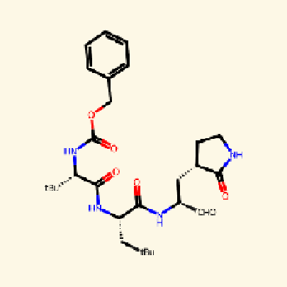 CC(C)(C)C[C@H](NC(=O)[C@@H](NC(=O)OCc1ccccc1)C(C)(C)C)C(=O)N[C@H](C=O)C[C@@H]1CCNC1=O